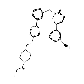 N#Cc1cccc(-c2ccc(=O)n(Cc3cccc(-c4ncc(OCC5CCN(C(=O)CCl)CC5)cn4)c3)n2)c1